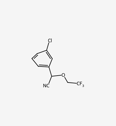 N#CC(OCC(F)(F)F)c1cccc(Cl)c1